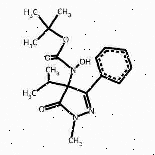 CC(C)C1(N(O)C(=O)OC(C)(C)C)C(=O)N(C)N=C1c1ccccc1